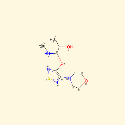 CC(O)[C@H](NC(C)(C)C)Oc1nsnc1N1CCOCC1